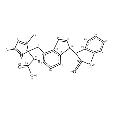 CC1=CC(C)=NC1(Cc1cccc2c1C=CC2C1C(=O)Nc2ccccc21)C(C)C(=O)O